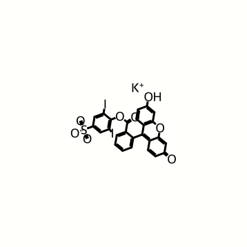 O=C(Oc1c(I)cc(S(=O)(=O)[O-])cc1I)c1ccccc1-c1c2ccc(=O)cc-2oc2cc(O)ccc12.[K+]